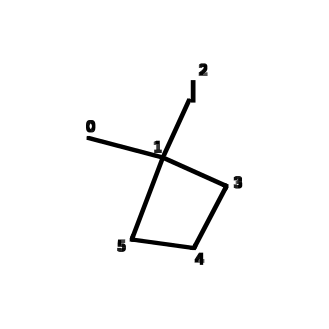 CC1(I)CCC1